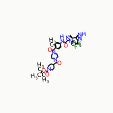 Cc1cc(NC(=O)c2ncc(-c3c[nH]nc3C(F)(F)F)n2C)ccc1C(=O)N1CCN(C(=O)C2CCN(C(=O)OC(C)(C)C)CC2)CC1